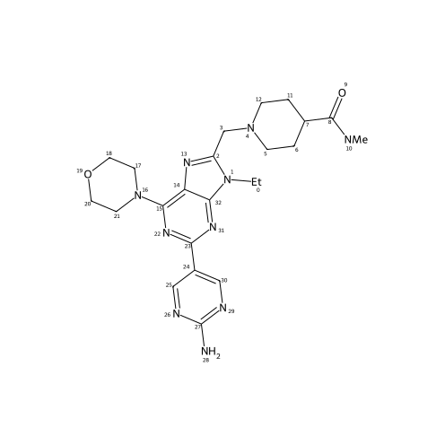 CCn1c(CN2CCC(C(=O)NC)CC2)nc2c(N3CCOCC3)nc(-c3cnc(N)nc3)nc21